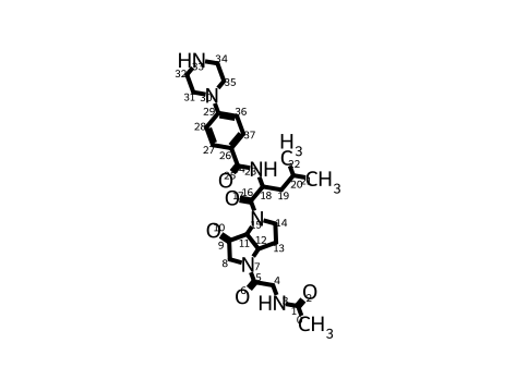 CC(=O)NCC(=O)N1CC(=O)C2C1CCN2C(=O)C(CC(C)C)NC(=O)c1ccc(N2CCNCC2)cc1